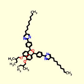 CCCCCCCCCc1cnc(-c2ccc(C(OC(c3ccc(OCC(C)CC)cc3)c3ccc(-c4ncc(CCCCCCCCC)cn4)cc3)c3ccc(OCC(C)CC)cc3)cc2)nc1